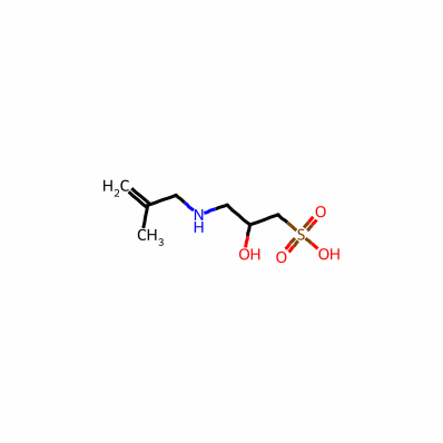 C=C(C)CNCC(O)CS(=O)(=O)O